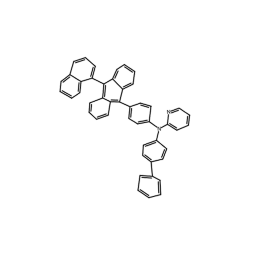 c1ccc(-c2ccc(N(c3ccc(-c4c5ccccc5c(-c5cccc6ccccc56)c5ccccc45)cc3)c3ccccn3)cc2)cc1